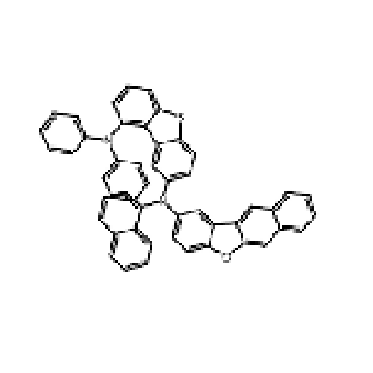 c1ccc(N(c2ccccc2)c2cccc3sc4ccc(N(c5ccc6oc7cc8ccccc8cc7c6c5)c5cccc6ccccc56)cc4c23)cc1